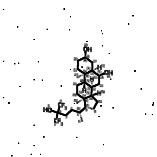 C[C@H](CCC(O)(C(F)(F)F)C(F)(F)F)[C@H]1CC[C@H]2[C@@H]3C[C@H](O)[C@@H]4C[C@H](O)CC[C@]4(C)[C@H]3CC[C@]12C